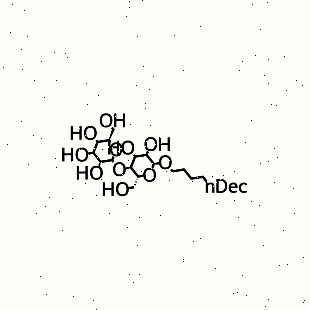 CCCCCCCCCCCCCCO[C@H]1O[C@H](CO)[C@@H](O[C@@H]2O[C@H](CO)[C@@H](O)[C@H](O)[C@H]2O)[C@H](O)[C@H]1O